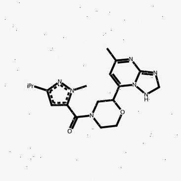 CC1=NC2=NCNN2C(C2CN(C(=O)c3cc(C(C)C)nn3C)CCO2)=C1